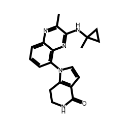 Cc1nc2cccc(-n3ccc4c3CCNC4=O)c2nc1NC1(C)CC1